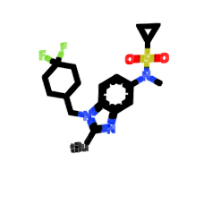 CN(c1ccc2c(c1)nc(C(C)(C)C)n2CC1CCC(F)(F)CC1)S(=O)(=O)C1CC1